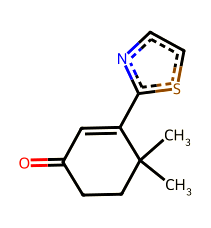 CC1(C)CCC(=O)C=C1c1nccs1